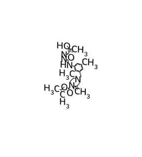 Cc1cc(CN2CCN(C(=O)OC(C)C)[C@@H](C)C2)c(C)c(Nc2nnc([C@H](C)O)o2)c1